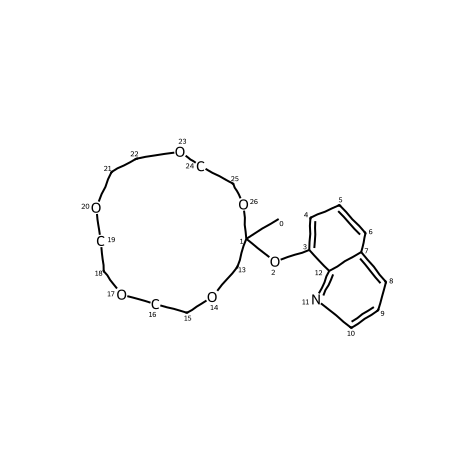 CC1(Oc2cccc3cccnc23)COCCOCCOCCOCCO1